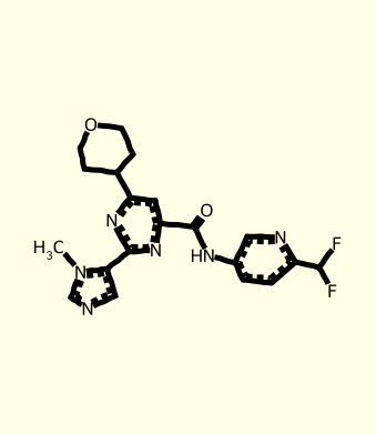 Cn1cncc1-c1nc(C(=O)Nc2ccc(C(F)F)nc2)cc(C2CCOCC2)n1